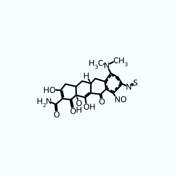 CN(C)c1cc(N=S)c(N=O)c2c1C[C@H]1CC3CC(O)=C(C(N)=O)C(=O)[C@@]3(O)C(O)=C1C2=O